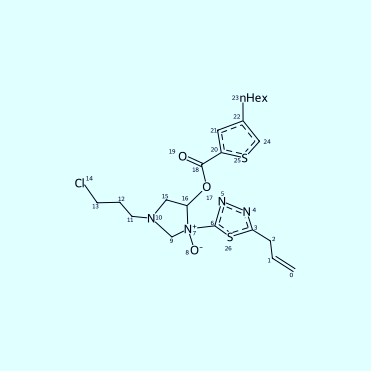 C=CCc1nnc([N+]2([O-])CN(CCCCl)CC2OC(=O)c2cc(CCCCCC)cs2)s1